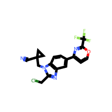 N#CC1(Cn2c(CCl)nc3cc(C4=C=COC(C(F)(F)F)=N4)ccc32)CC1